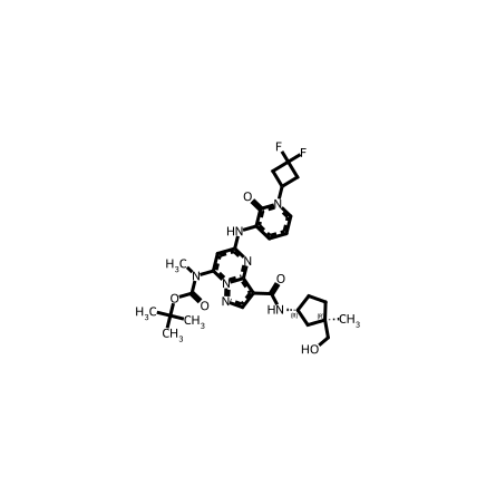 CN(C(=O)OC(C)(C)C)c1cc(Nc2cccn(C3CC(F)(F)C3)c2=O)nc2c(C(=O)N[C@@H]3CC[C@@](C)(CO)C3)cnn12